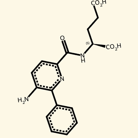 Nc1ccc(C(=O)N[C@@H](CCC(=O)O)C(=O)O)nc1-c1ccccc1